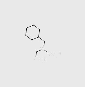 O=C(O)CN(CC1CCCCC1)C(=O)O